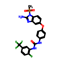 CS(=O)(=O)n1c(N)nc2cc(Oc3ccc(NC(=O)Nc4cc(C(F)(F)F)ccc4F)cc3)ccc21